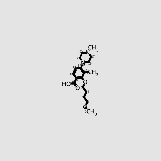 COCCCCOc1c(C(=O)O)ccc(N2CCN(C)CC2)c1C